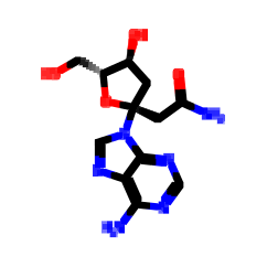 NC(=O)C[C@]1(n2cnc3c(N)ncnc32)C[C@H](O)[C@@H](CO)O1